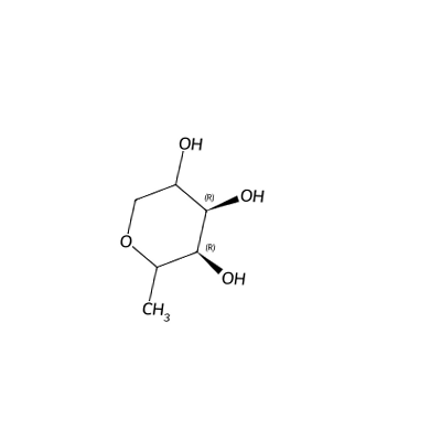 CC1OCC(O)[C@@H](O)[C@H]1O